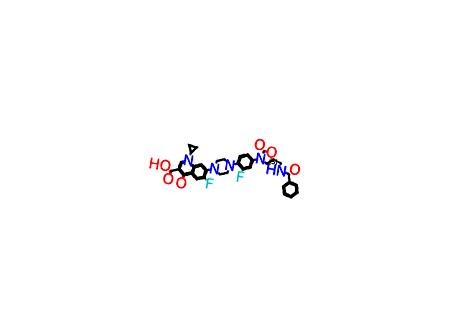 O=C(NC[C@H]1CN(c2ccc(N3CCN(c4cc5c(cc4F)c(=O)c(C(=O)O)cn5C4CC4)CC3)c(F)c2)C(=O)O1)c1ccccc1